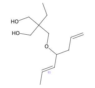 C=CCC(/C=C/C)OCC(CC)(CO)CO